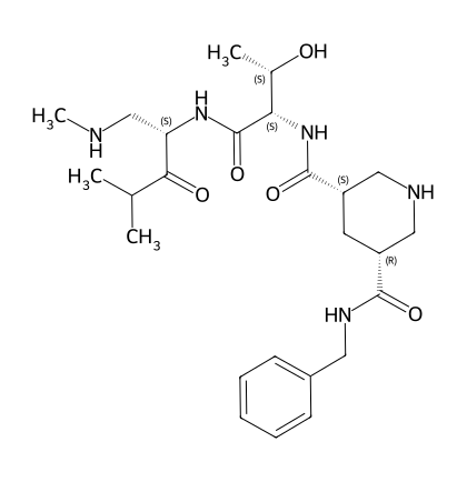 CNC[C@H](NC(=O)[C@@H](NC(=O)[C@@H]1CNC[C@H](C(=O)NCc2ccccc2)C1)[C@H](C)O)C(=O)C(C)C